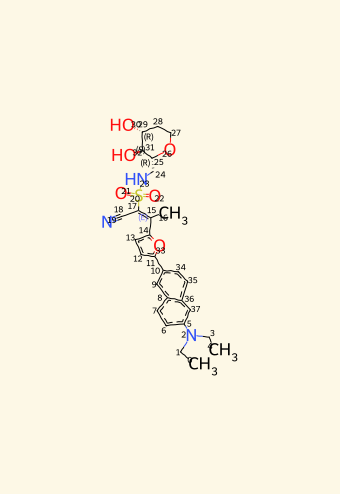 CCN(CC)c1ccc2cc(-c3ccc(/C(C)=C(\C#N)S(=O)(=O)NC[C@H]4OCC[C@@H](O)[C@@H]4O)o3)ccc2c1